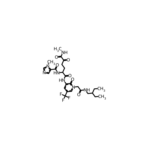 CCC(CC)CNC(=O)Cn1cc(C(F)(F)F)cc(NC(=O)C(CCC(=O)C(=O)NC)NC(=O)c2cncn2C)c1=O